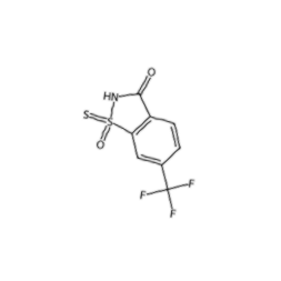 O=C1NS(=O)(=S)c2cc(C(F)(F)F)ccc21